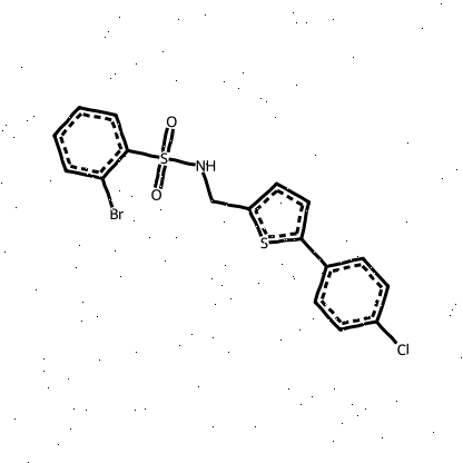 O=S(=O)(NCc1ccc(-c2ccc(Cl)cc2)s1)c1ccccc1Br